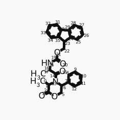 CC1C(=O)OCC(c2ccccc2)N1C(=O)[C@H](C)NC(=O)OCC1c2ccccc2-c2ccccc21